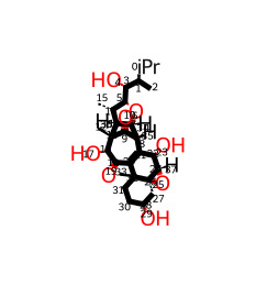 CC(C)[C@@H](C)[C@@H](O)[C@@H]1O[C@H]2[C@H]3C(=O)[C@@](C)([C@H]2[C@@H]1C)[C@@H](O)C(=O)C1=C3[C@H](O)[C@H]2O[C@]23C[C@@H](O)CC[C@]13C